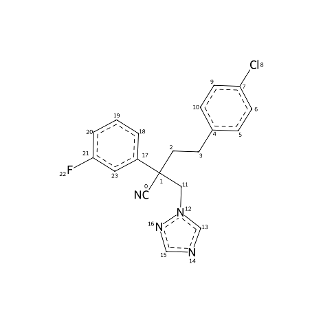 N#CC(CCc1ccc(Cl)cc1)(Cn1cncn1)c1cccc(F)c1